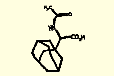 O=C(O)C(NC(=O)C(F)(F)F)C12CC3CC(CC(C3)C1)C2